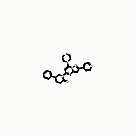 O=C1CCC(c2ccccc2)CN1c1cc(N2CCOCC2)n2nc(-c3ccncc3)cc2n1